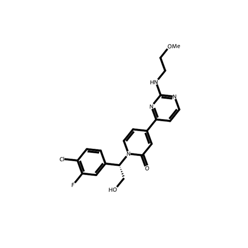 COCCNc1nccc(-c2ccn([C@H](CO)c3ccc(Cl)c(F)c3)c(=O)c2)n1